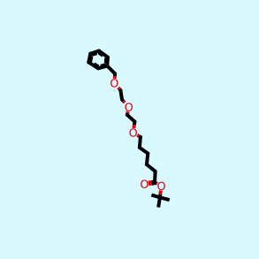 CC(C)(C)OC(=O)CCCCCOCCOCCOCc1ccccc1